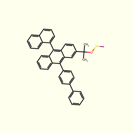 CC(C)(OSI)c1ccc2c(-c3cccc4ccccc34)c3ccccc3c(-c3ccc(-c4ccccc4)cc3)c2c1